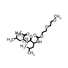 COCCOCCOC(=O)NC(CC(C)C)C(=O)N[C@@H](CC(C)C)C(C)=O